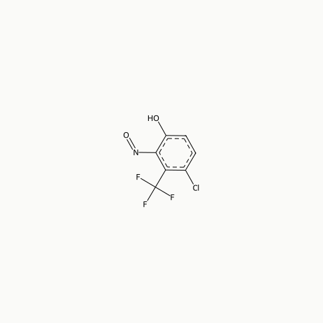 O=Nc1c(O)ccc(Cl)c1C(F)(F)F